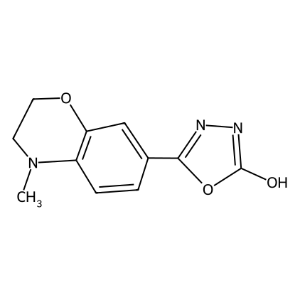 CN1CCOc2cc(-c3nnc(O)o3)ccc21